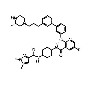 Cc1cc(C(=O)NC2CCC(NC(=O)c3cc(F)cnc3Oc3cccc(-c4cccc(CCCN5CCN[C@@H](C)C5)c4)c3)CC2)nn1C